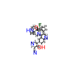 N#Cc1cncc(-c2ccc3ncc(C4=CC(F)=CC4)c(N4CC[C@H]5NCCO[C@@H]5C4)c3c2)c1O